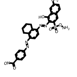 NOS(=O)(=O)c1cc2ccc(N)cc2c(O)c1N=Nc1ccc(N=Nc2ccc(C(=O)N=O)cc2)c2c1CC=CC2